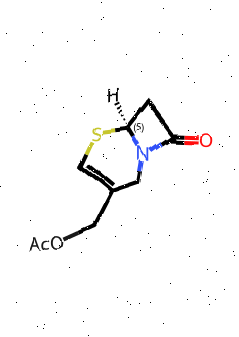 CC(=O)OCC1=CS[C@H]2CC(=O)N2C1